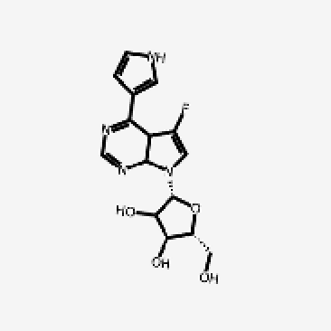 OC[C@H]1O[C@@H](N2C=C(F)C3C(c4cc[nH]c4)=NC=NC32)C(O)C1O